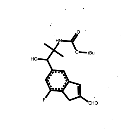 CC(C)(C)OC(=O)NC(C)(C)C(O)c1cc(F)c2c(c1)C=C(C=O)C2